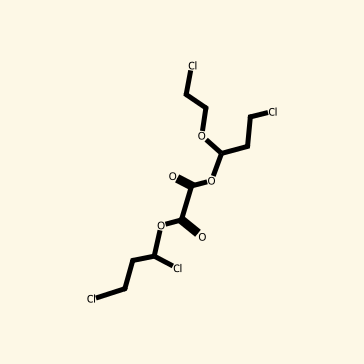 O=C(OC(Cl)CCCl)C(=O)OC(CCCl)OCCCl